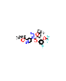 CNC(=O)c1cc(NC(=O)[C@@H]2O[C@](C)(C(F)(F)F)[C@H](C)[C@H]2c2ccc(F)cc2OC(F)F)ccn1